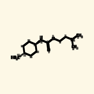 CN(C)CCOC(=O)N[C@H]1CC[C@H](C(=O)O)CC1